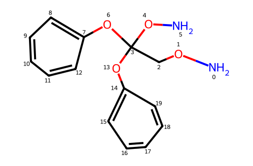 NOCC(ON)(Oc1ccccc1)Oc1ccccc1